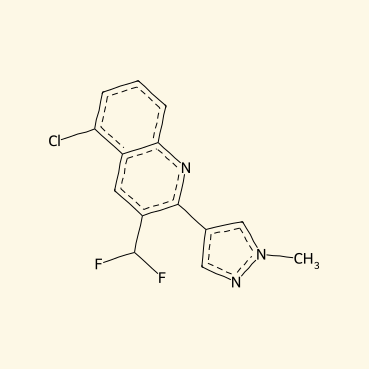 Cn1cc(-c2nc3cccc(Cl)c3cc2C(F)F)cn1